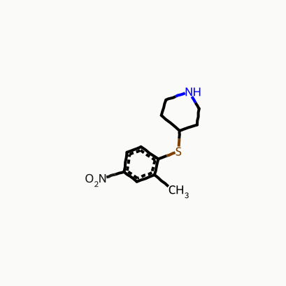 Cc1cc([N+](=O)[O-])ccc1SC1CCNCC1